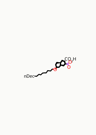 CCCCCCCCCCCCCCCCCCOc1ccc2cc(C(=O)O)c(I(=O)=O)cc2c1